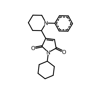 O=C1C=C(C2CCCCN2c2ccccc2)C(=O)N1C1CCCCC1